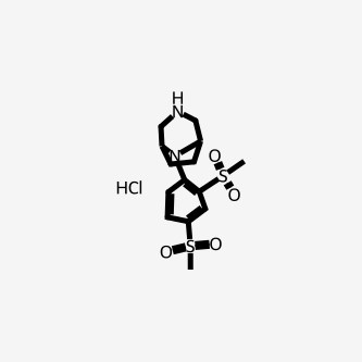 CS(=O)(=O)c1ccc(N2C3CCC2CNC3)c(S(C)(=O)=O)c1.Cl